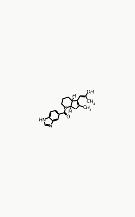 CC1=C(/C=C(\C)O)[C@H]2CCCN(C(=O)c3ccc4[nH]cnc4c3)[C@H]2C1